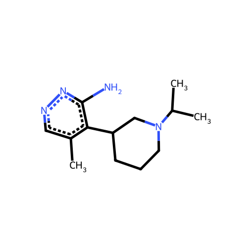 Cc1cnnc(N)c1C1CCCN(C(C)C)C1